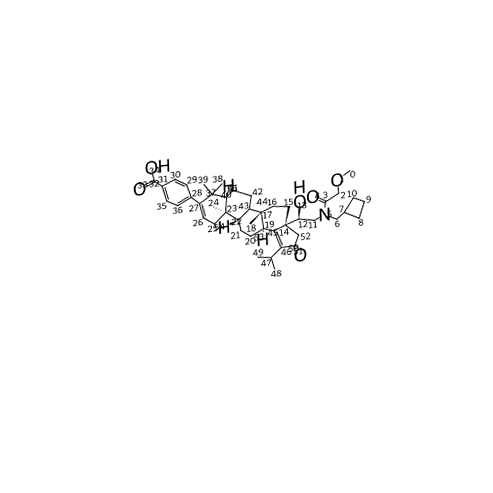 COCC(=O)N(CC1CCC1)C[C@H](O)[C@@]12CC[C@]3(C)[C@H](CC[C@@H]4[C@@]5(C)CC=C(c6ccc(C(=O)O)cc6)C(C)(C)[C@@H]5CC[C@]43C)C1=C(C(C)C)C(=O)C2